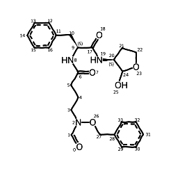 O=CN(CCCC(=O)N[C@@H](Cc1ccccc1)C(=O)N[C@H]1CCOC1O)OCc1ccccc1